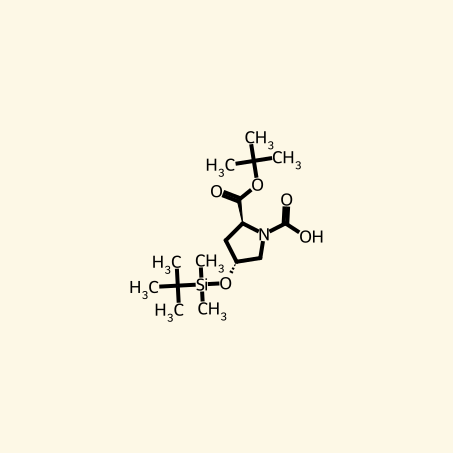 CC(C)(C)OC(=O)[C@@H]1C[C@@H](O[Si](C)(C)C(C)(C)C)CN1C(=O)O